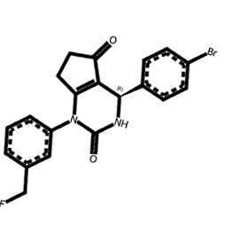 O=C1CCC2=C1[C@@H](c1ccc(Br)cc1)NC(=O)N2c1cccc(CF)c1